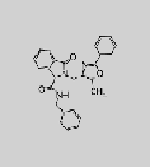 Cc1oc(-c2ccccc2)nc1CN1C(=O)c2ccccc2C1C(=O)NCc1ccccc1